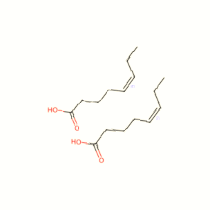 CC/C=C\CCCC(=O)O.CC/C=C\CCCC(=O)O